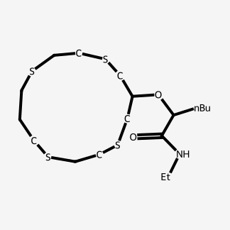 CCCCC(OC1CSCCSCCCSCCSC1)C(=O)NCC